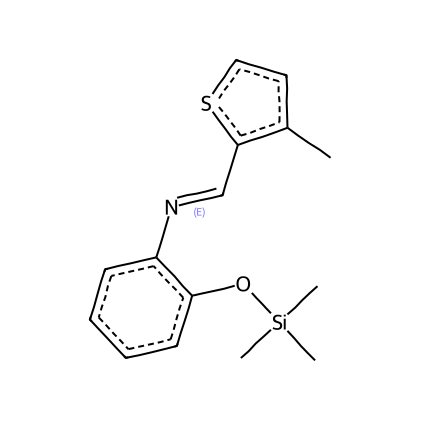 Cc1ccsc1/C=N/c1ccccc1O[Si](C)(C)C